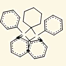 O=P(c1ccccc1)(c1ccccc1)C1(P(=O)(c2ccccc2)c2ccccc2)CCCCC1